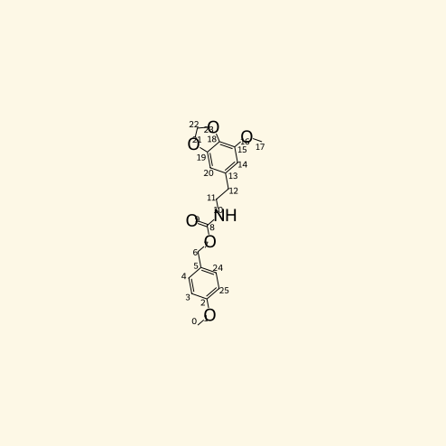 COc1ccc(COC(=O)NCCc2cc(OC)c3c(c2)OCO3)cc1